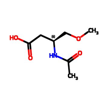 COC[C@H](CC(=O)O)NC(C)=O